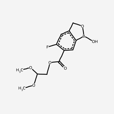 COC(COC(=O)c1cc2c(cc1F)COB2O)OC